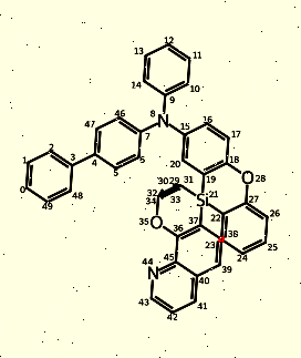 c1ccc(-c2ccc(N(c3ccccc3)c3ccc4c(c3)[Si]3(c5ccccc5O4)c4ccccc4Oc4c3ccc3cccnc43)cc2)cc1